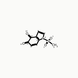 CS(=O)(=O)n1ccc2c1C=CC(=O)C2=O